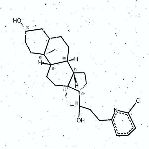 C[C@]12CC[C@H]3[C@@H](CCC4C[C@@H](O)CC[C@@]43C)[C@@H]1CC[C@@H]2[C@](C)(O)CCc1cccc(Cl)n1